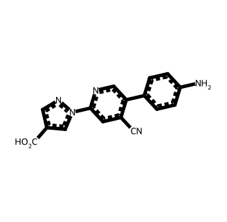 N#Cc1cc(-n2cc(C(=O)O)cn2)ncc1-c1ccc(N)cc1